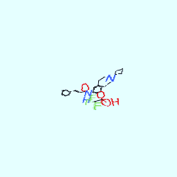 O=C(/C=C/c1ccccc1)Nc1ccc2c(c1)CCN(C1CCC1)CC2.O=C(O)C(F)(F)F